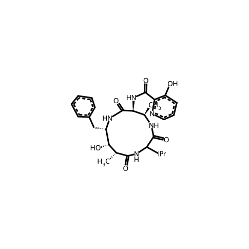 CC(C)C1NC(=O)[C@H](C)[C@H](O)[C@H](Cc2ccccc2)NC(=O)[C@@H](NC(=O)c2ncccc2O)[C@@H](C)NC1=O